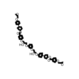 O=C(O[C@H]1CC[C@H](c2ccc(OCC(O)COc3cccc(OCC(O)COc4ccc(C(=O)O[C@H]5CC[C@H](c6ccc(OCC7CO7)cc6)CC5)cc4)c3)cc2)CC1)c1ccc(OCC2CO2)cc1